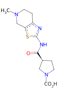 CN1CCc2nc(NC(=O)[C@H]3CCN(C(=O)O)C3)sc2C1